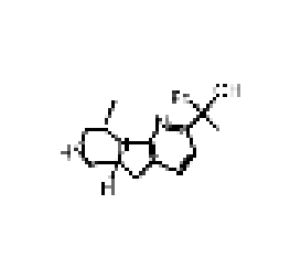 CC(C)C(C)(O)c1ccc2c(n1)N1[C@@H](CNC[C@H]1C)C2